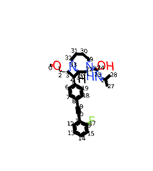 COC[C@H]1[C@H](c2ccc(C#Cc3ccccc3F)cc2)[C@@H]2CN(C(O)NC(C)C)CCCCN12